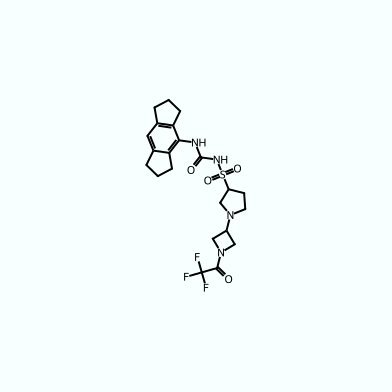 O=C(Nc1c2c(cc3c1CCC3)CCC2)NS(=O)(=O)C1CCN(C2CN(C(=O)C(F)(F)F)C2)C1